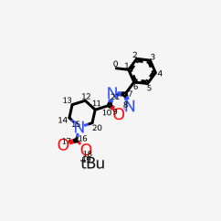 Cc1ccccc1-c1noc(C2CCCN(C(=O)OC(C)(C)C)C2)n1